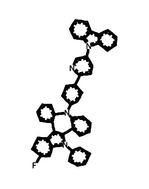 Fc1ccc2c3c(n(-c4ccccc4)c2c1)-c1ccccc1N(c1ccc(-c2ccc(-n4c5ccccc5c5ccccc54)cn2)cc1)c1ccccc1-3